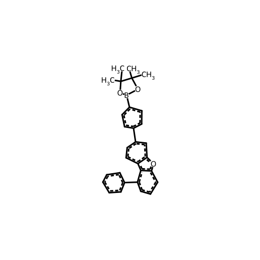 CC1(C)OB(c2ccc(-c3ccc4c(c3)oc3cccc(-c5ccccc5)c34)cc2)OC1(C)C